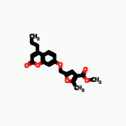 CCCc1cc(=O)oc2cc(OCc3cc(C(=O)OC)c(C)o3)ccc12